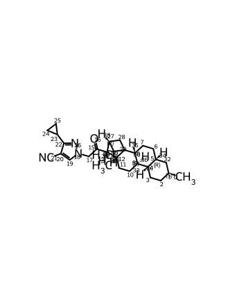 C[C@H]1CC[C@H]2[C@H](CC[C@@H]3[C@@H]2CC[C@]2(C)[C@@H](C(=O)Cn4cc(C#N)c(C5CC5)n4)[C@@H]4CC32[C@@H]4C)C1